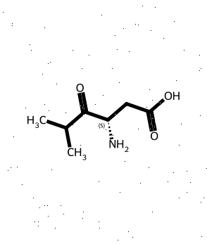 CC(C)C(=O)[C@@H](N)CC(=O)O